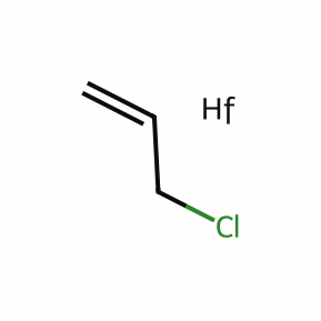 C=CCCl.[Hf]